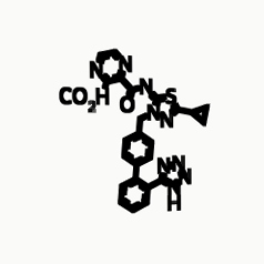 O=C(O)c1nccnc1C(=O)N=c1sc(C2CC2)nn1Cc1ccc(-c2ccccc2-c2nnn[nH]2)cc1